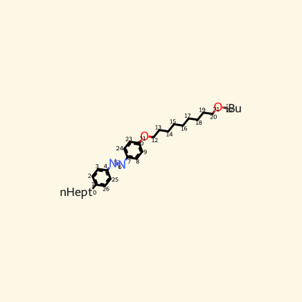 CCCCCCCc1ccc(/N=N/c2ccc(OCCCCCCCCCOC(C)CC)cc2)cc1